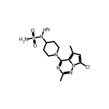 CCCN(C1CCN(c2nc(C)nn3c(Cl)cc(C)c23)CC1)S(N)(=O)=O